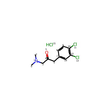 CN(C)CC(=O)Cc1ccc(Cl)c(Cl)c1.Cl